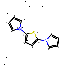 c1ccn(-c2ccc(-n3cccc3)s2)c1